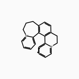 c1cc[n+]2c(c1)-c1c(ccc3c1-c1c4ccccc4cc[n+]1CC3)CCC2